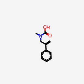 C=C(CN(C)C(=O)O)c1ccccc1